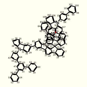 C1=C(c2cccc3c2-c2ccccc2C32c3ccccc3-c3ccc4c5cc(-c6ccc7c(c6)c6ccccc6n7-c6cccc(-c7cc(-c8ccccc8)cc(-c8ccccc8)c7)c6)ccc5n(-c5nc(-c6ccccc6)nc(-c6ccccc6)n5)c4c32)CCC(N(c2ccc(-c3ccccc3)cc2)c2ccccc2-c2ccccc2)=C1